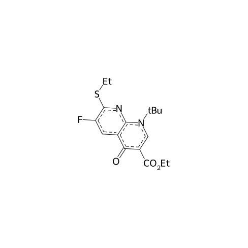 CCOC(=O)c1cn(C(C)(C)C)c2nc(SCC)c(F)cc2c1=O